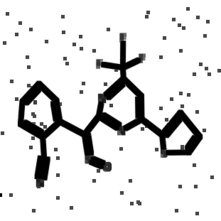 N#Cc1ccccc1C(=S=O)c1nc(-c2cccs2)cc(C(F)(F)F)n1